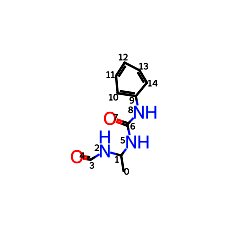 CC(NC=O)NC(=O)Nc1ccccc1